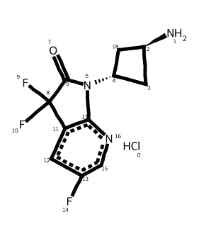 Cl.N[C@H]1C[C@H](N2C(=O)C(F)(F)c3cc(F)cnc32)C1